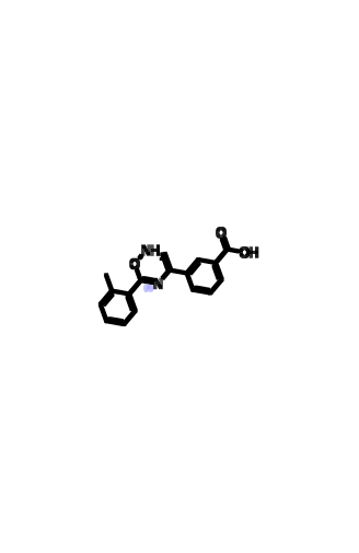 C=C(/N=C(\ON)c1ccccc1C)c1cccc(C(=O)O)c1